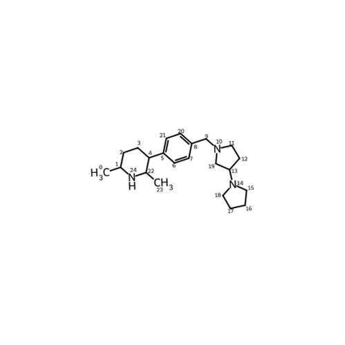 CC1CCC(c2ccc(CN3CCC(N4CCCC4)C3)cc2)C(C)N1